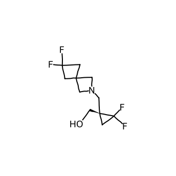 OC[C@]1(CN2CC3(C2)CC(F)(F)C3)CC1(F)F